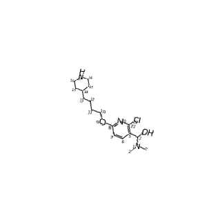 CN(C)C(O)c1ccc(OCCCCC2CCNCC2)nc1Cl